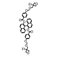 CCC1(COCOc2ccc(C(=O)Oc3ccc4ccccc4c3-c3c(OC(=O)c4ccc(OCOCC5(CC)COC5)cc4)ccc4ccccc34)cc2)COC1